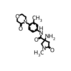 Cc1cc(NC(=O)C2(N)CC(=O)N(C)C2)ccc1N1CCOCC1=O